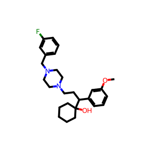 COc1cccc(C(CCN2CCN(Cc3cccc(F)c3)CC2)C2(O)CCCCC2)c1